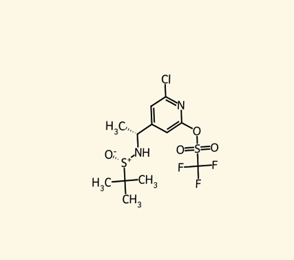 C[C@@H](N[S@@+]([O-])C(C)(C)C)c1cc(Cl)nc(OS(=O)(=O)C(F)(F)F)c1